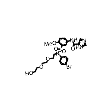 COc1ccc(NC(=O)c2cnc[nH]2)cc1S(=O)(=O)N(CCOCCOCCO)c1ccc(Br)cc1